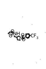 C=CS(=O)(=O)NCC1CCN(S(=O)(=O)c2ccc(C(F)(F)F)cc2)C1